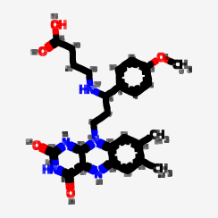 COc1ccc(C(CCn2c3nc(=O)[nH]c(=O)c-3nc3cc(C)c(C)cc32)NCCCC(=O)O)cc1